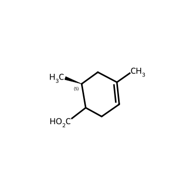 CC1=CCC(C(=O)O)[C@@H](C)C1